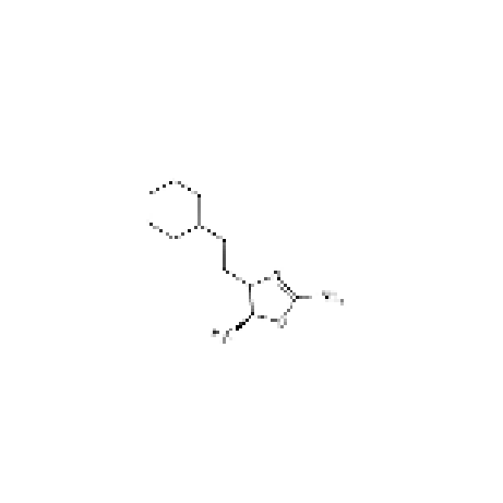 C[C@@H]1OC(N)=NC1CCC1CCCCC1